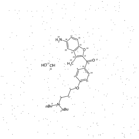 CCCCN(CCCC)CCCOc1ccc(C(=O)c2oc3ccc(N)cc3c2C)cc1.Cl.Cl